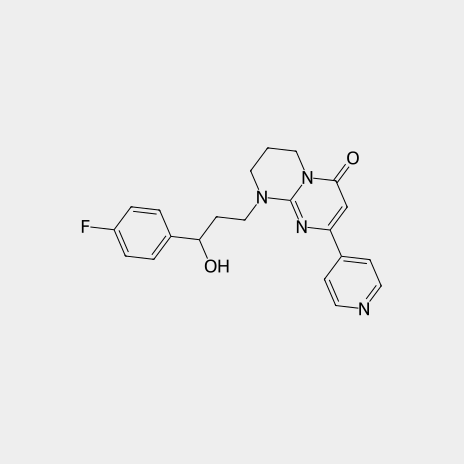 O=c1cc(-c2ccncc2)nc2n1CCCN2CCC(O)c1ccc(F)cc1